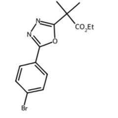 CCOC(=O)C(C)(C)c1nnc(-c2ccc(Br)cc2)o1